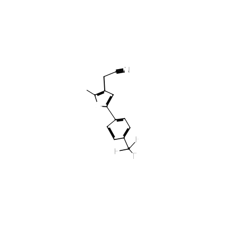 Cc1oc(-c2ccc(C(F)(F)F)cc2)cc1CC#N